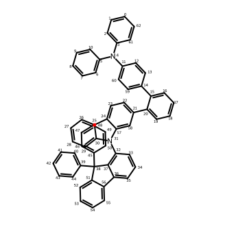 c1ccc(N(c2ccccc2)c2ccc(-c3ccccc3-c3ccc4c5ccccc5n(-c5cccc6c5C(c5ccccc5)(c5ccccc5)c5ccccc5-6)c4c3)cc2)cc1